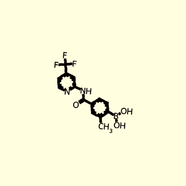 Cc1cc(C(=O)Nc2cc(C(F)(F)F)ccn2)ccc1B(O)O